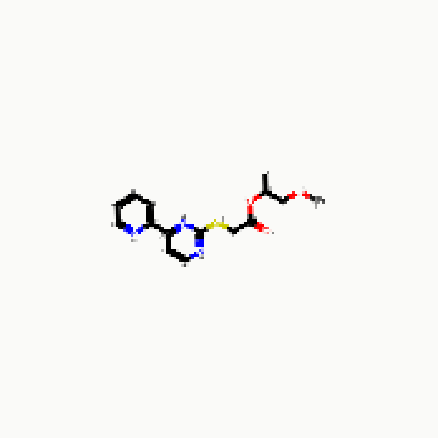 CC(C)OCC(C)OC(=O)CSc1nccc(-c2ccccn2)n1